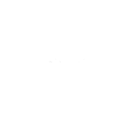 C=C(C)C(=O)OCCN(C(=O)N(C)c1ccccc1)c1ccccc1